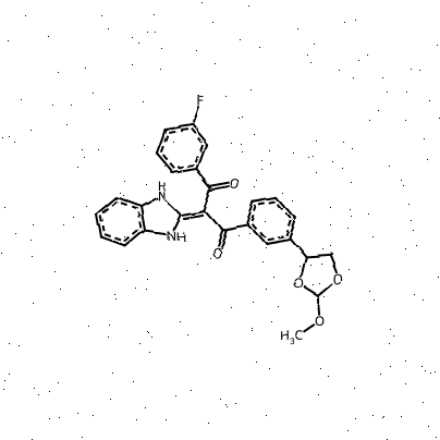 COC1OCC(c2cccc(C(=O)C(C(=O)c3cccc(F)c3)=C3Nc4ccccc4N3)c2)O1